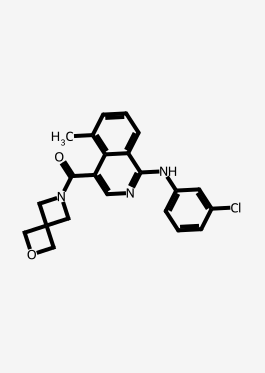 Cc1cccc2c(Nc3cccc(Cl)c3)ncc(C(=O)N3CC4(COC4)C3)c12